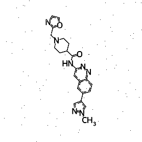 Cn1cc(-c2ccc3nnc(NC(=O)C4CCN(Cc5ncco5)CC4)cc3c2)cn1